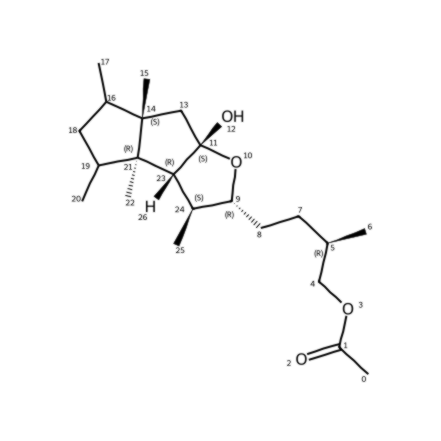 CC(=O)OC[C@H](C)CC[C@H]1O[C@@]2(O)C[C@@]3(C)C(C)CC(C)[C@]3(C)[C@H]2[C@@H]1C